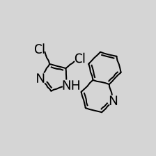 Clc1nc[nH]c1Cl.c1ccc2ncccc2c1